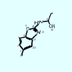 Cc1ccc2oc(NC(C)O)nc2c1